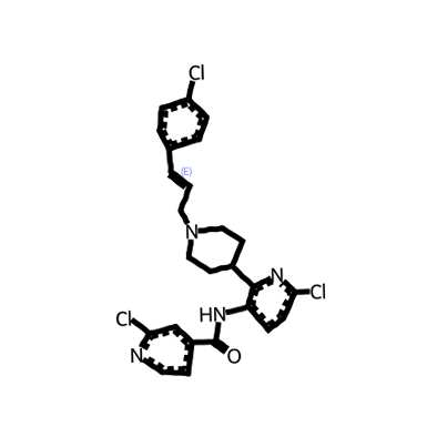 O=C(Nc1ccc(Cl)nc1C1CCN(C/C=C/c2ccc(Cl)cc2)CC1)c1ccnc(Cl)c1